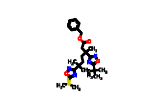 C[SH](C)c1nc(C(C)(C)CCC(C)(CC(=O)OCc2ccccc2)c2noc(C(C)(C)C)n2)no1